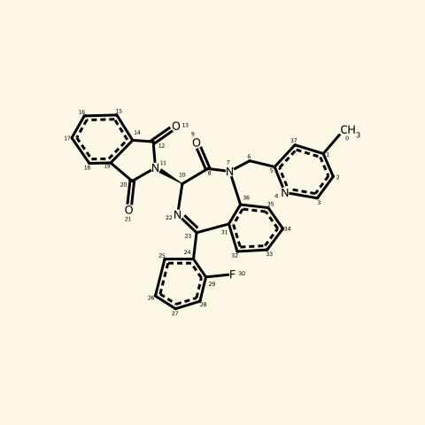 Cc1ccnc(CN2C(=O)[C@H](N3C(=O)c4ccccc4C3=O)N=C(c3ccccc3F)c3ccccc32)c1